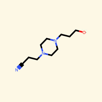 N#CCCN1CCN(CCC[O])CC1